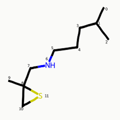 CC(C)CCCNCC1(C)CS1